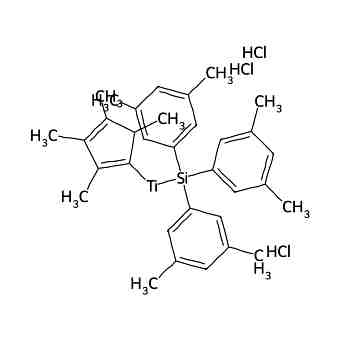 CC1=C(C)C(C)[C]([Ti][Si](c2cc(C)cc(C)c2)(c2cc(C)cc(C)c2)c2cc(C)cc(C)c2)=C1C.Cl.Cl.Cl